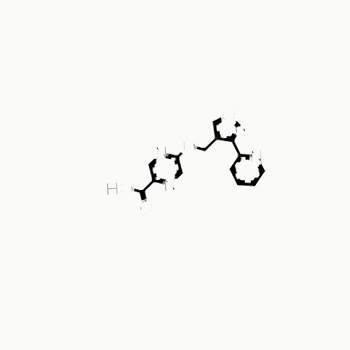 O=C(O)c1cnc(OCc2conc2-c2ccccn2)cn1